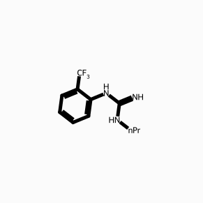 CCCNC(=N)Nc1ccccc1C(F)(F)F